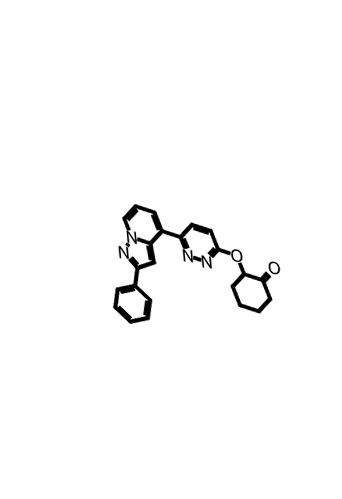 O=C1CCCCC1Oc1ccc(-c2cccn3nc(-c4ccccc4)cc23)nn1